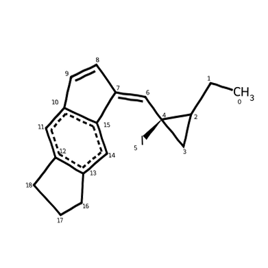 CCC1C[C@]1(I)/C=C1/C=Cc2cc3c(cc21)CCC3